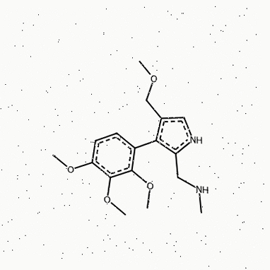 CNCc1[nH]cc(COC)c1-c1ccc(OC)c(OC)c1OC